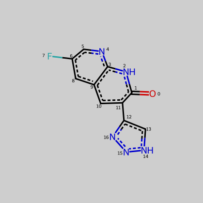 O=c1[nH]c2ncc(F)cc2cc1-c1c[nH]nn1